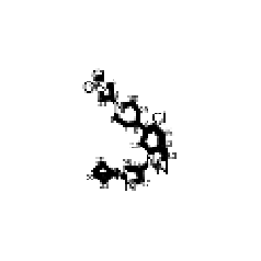 O=S1(=O)CC(N2CCC(c3cc4c(cnn4-c4cnn(C56CC(C5)C6)c4)cc3Cl)CC2)C1